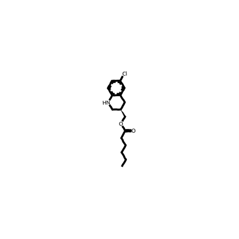 CCCCCC(=O)OC[C@H]1CNc2ccc(Cl)cc2C1